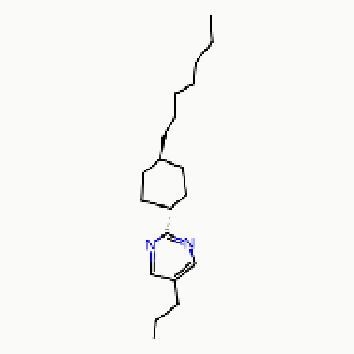 CCCCCCC[C@H]1CC[C@H](c2ncc(CCC)cn2)CC1